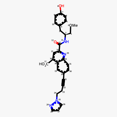 COC[C@H](Cc1ccc(O)cc1)NC(=O)c1cc(C(=O)O)c2cc(C#CCCn3cccn3)ccc2n1